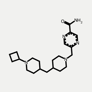 NC(=O)c1cnc(CN2CCC(CC3CCN(C4CCC4)CC3)CC2)cn1